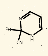 [2H]C1(C#N)N=CC=CN1